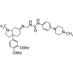 COc1ccc(C23CC/C(=N\CNC(=O)Nc4ccc(N5CCN(C)CC5)cc4)CC2N(C)CC3)cc1OC